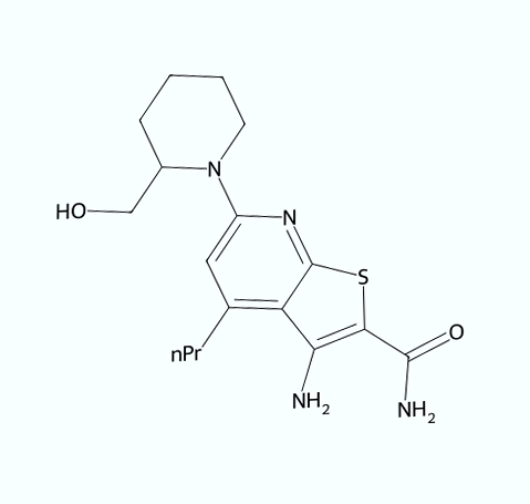 CCCc1cc(N2CCCCC2CO)nc2sc(C(N)=O)c(N)c12